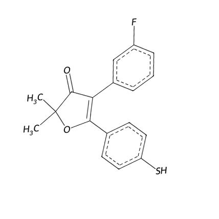 CC1(C)OC(c2ccc(S)cc2)=C(c2cccc(F)c2)C1=O